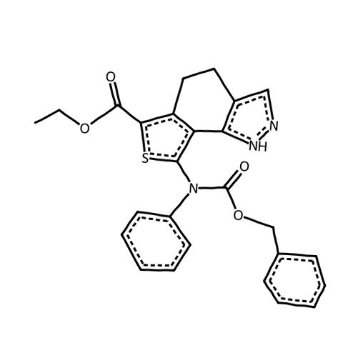 CCOC(=O)c1sc(N(C(=O)OCc2ccccc2)c2ccccc2)c2c1CCc1cn[nH]c1-2